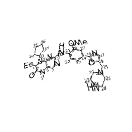 CC[C@@H]1C(=O)N(C)c2cnc(Nc3ccc(-c4ncc(CN5CCNCC5)o4)cc3OC)nc2N1C1CCCC1